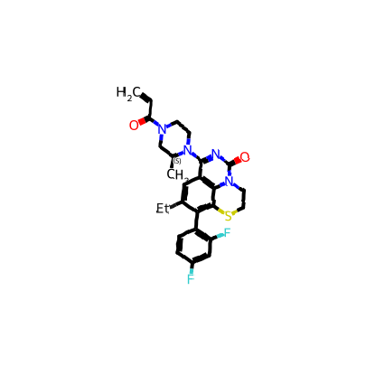 C=CC(=O)N1CCN(c2nc(=O)n3c4c(c(-c5ccc(F)cc5F)c(CC)cc24)SCC3)[C@@H](C)C1